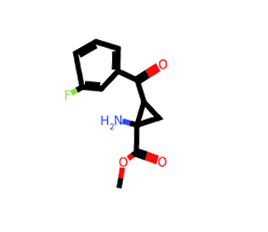 COC(=O)C1(N)CC1C(=O)c1cccc(F)c1